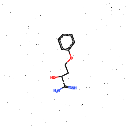 N=C(N)C(O)CCOc1ccccc1